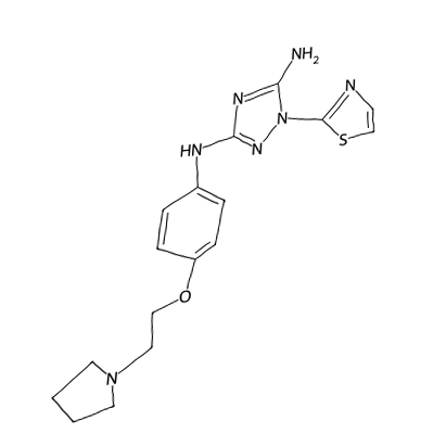 Nc1nc(Nc2ccc(OCCN3CCCC3)cc2)nn1-c1nccs1